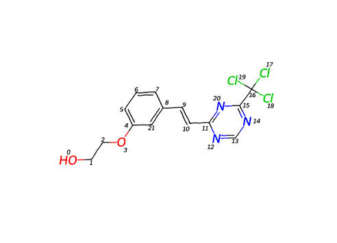 OCCOc1cccc(C=Cc2ncnc(C(Cl)(Cl)Cl)n2)c1